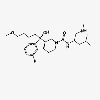 CNCC(CC(C)C)NC(=O)N1CCC[C@@H]([C@@](O)(CCCCOC)c2cccc(F)c2)C1